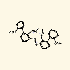 C/N=C/c1c(/N=N/c2cccc(-c3ccccc3OC)c2/C=N/C)cccc1-c1ccccc1OC